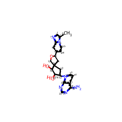 Cc1cnc2cc(C3CC4(CO3)CC(n3ccc5c(N)ncnc53)C(O)C4O)ccn12